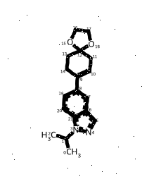 CC(C)n1ncc2cc(C3=CCC4(CC3)OCCO4)ccc21